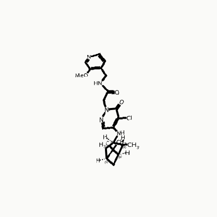 COc1cnccc1CNC(=O)Cn1ncc(N[C@@H]2C[C@@H]3C[C@H]([C@H]2C)C3(C)C)c(Cl)c1=O